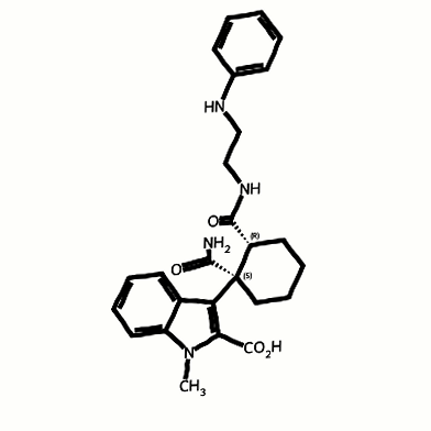 Cn1c(C(=O)O)c([C@]2(C(N)=O)CCCC[C@H]2C(=O)NCCNc2ccccc2)c2ccccc21